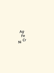 [Ag].[Cr].[Fe].[Ni]